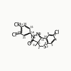 CC12CSc3ccc(Cl)cc3C1=NN(c1ccc(Cl)c(Cl)c1)C2=O